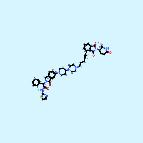 O=C1CCC(N2C(=O)c3cccc(C#CCCCN4CCN(C5CCN(c6ccc7c(c6)C(=O)N(C(C(=O)Nc6nccs6)c6ccccc6)C7)CC5)CC4)c3C2=O)C(=O)N1